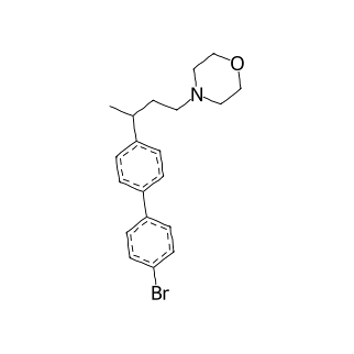 CC(CCN1CCOCC1)c1ccc(-c2ccc(Br)cc2)cc1